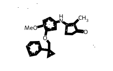 COc1ccc(NC2=C(C)C(=O)CC2)cc1OCC1(c2ccccc2)CC1